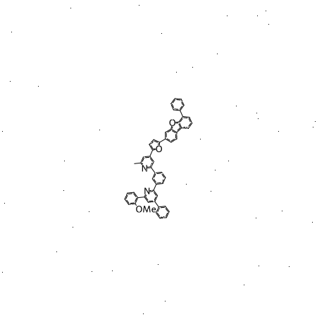 COc1ccccc1-c1cc(-c2ccccc2)cc(-c2cccc(-c3cc(-c4ccc(-c5ccc6c(c5)oc5c(-c7ccccc7)cccc56)o4)cc(C)n3)c2)n1